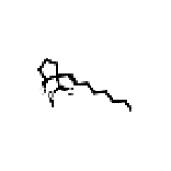 CCCCCC/C=C/C1(C(=O)OC)CCCC1=O